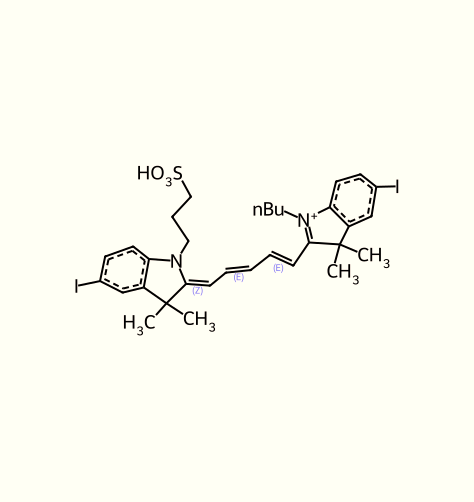 CCCC[N+]1=C(/C=C/C=C/C=C2\N(CCCS(=O)(=O)O)c3ccc(I)cc3C2(C)C)C(C)(C)c2cc(I)ccc21